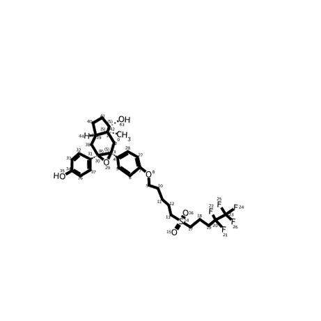 C[C@]12C[C@@]3(c4ccc(OCCCCCS(=O)(=O)CCCC(F)(F)C(F)(F)F)cc4)O[C@@]3(c3ccc(O)cc3)C[C@@H]1CC[C@@H]2O